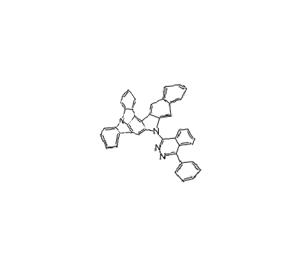 c1ccc(-c2nnc(-n3c4cc5ccccc5cc4c4c5c6ccccc6n6c7ccccc7c(cc43)c56)c3ccccc23)cc1